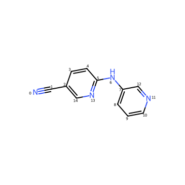 N#Cc1ccc(Nc2cccnc2)nc1